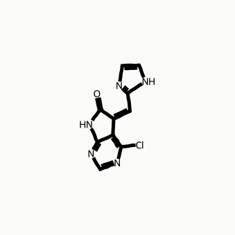 O=C1Nc2ncnc(Cl)c2/C1=C/c1ncc[nH]1